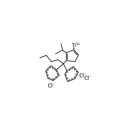 CCCCC(C1=C(C(C)C)[C]([Ti+3])=CC1)(c1ccccc1)c1ccccc1.[Cl-].[Cl-].[Cl-]